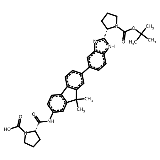 CC(C)(C)OC(=O)N1CCC[C@H]1c1nc2cc(-c3ccc4c(c3)C(C)(C)c3cc(NC(=O)[C@@H]5CCCN5C(=O)O)ccc3-4)ccc2[nH]1